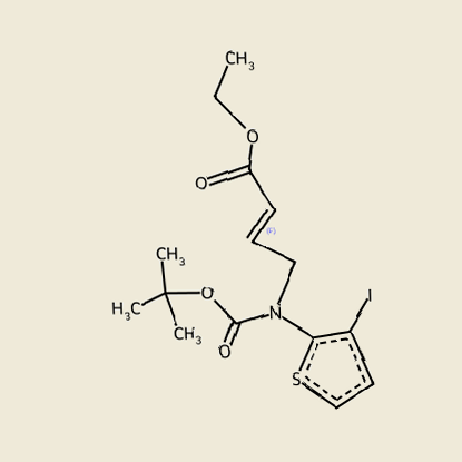 CCOC(=O)/C=C/CN(C(=O)OC(C)(C)C)c1sccc1I